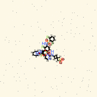 O=S1(=O)CCC(N2CC3CCC(C2)N3c2nc(-c3cccc(NS(=O)(=O)c4c(F)cccc4F)c3F)c(-c3ccnc(NC4CC5(C4)CS(=O)(=O)C5)n3)s2)CC1